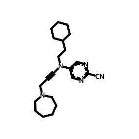 N#Cc1ncc(N(C#CCN2CCCCCC2)CCC2CCCCC2)cn1